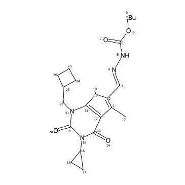 Cc1c(/C=N/NC(=O)OC(C)(C)C)sc2c1c(=O)n(C1CC1)c(=O)n2CC1CCC1